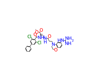 COC(=O)[C@H](CNC(=O)CCN1CCOc2ccc(NC(=N)N)cc21)NC(=O)c1c(Cl)cc(-c2ccccc2)cc1Cl